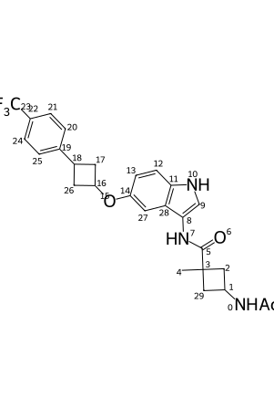 CC(=O)NC1CC(C)(C(=O)Nc2c[nH]c3ccc(OC4CC(c5ccc(C(F)(F)F)cc5)C4)cc23)C1